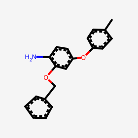 Cc1ccc(Oc2ccc(N)c(OCc3ccccc3)c2)cc1